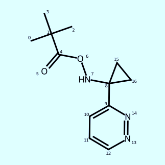 CC(C)(C)C(=O)ONC1(c2cccnn2)CC1